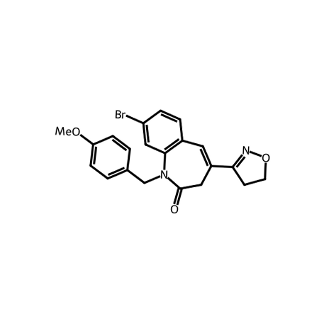 COc1ccc(CN2C(=O)CC(C3=NOCC3)=Cc3ccc(Br)cc32)cc1